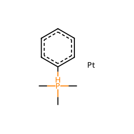 C[PH](C)(C)c1ccccc1.[Pt]